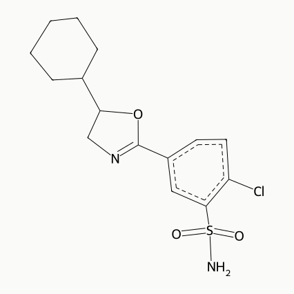 NS(=O)(=O)c1cc(C2=NCC(C3CCCCC3)O2)ccc1Cl